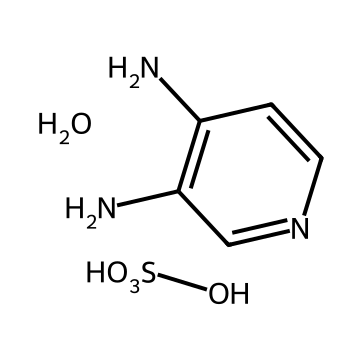 Nc1ccncc1N.O.O=S(=O)(O)O